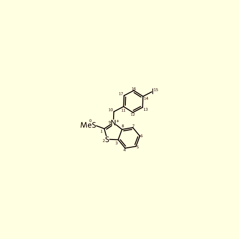 CSc1sc2ccccc2[n+]1Cc1ccc(I)cc1